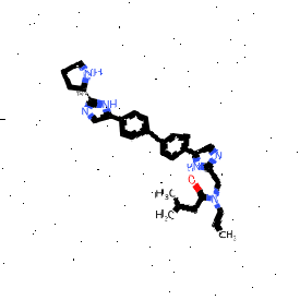 CCCN(Cc1ncc(-c2ccc(-c3ccc(-c4cnc([C@@H]5CCCN5)[nH]4)cc3)cc2)[nH]1)C(=O)CC(C)C